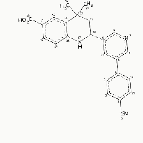 CC(C)(C)c1ccc(-c2cncc(C3CC(C)(C)c4cc(C(=O)O)ccc4N3)c2)cc1